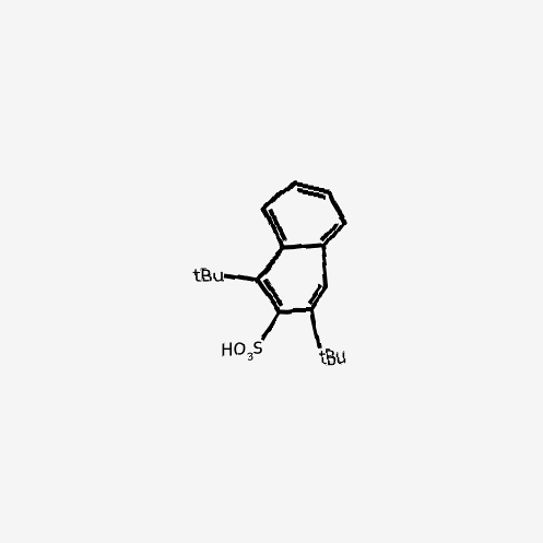 CC(C)(C)c1cc2ccccc2c(C(C)(C)C)c1S(=O)(=O)O